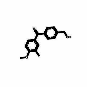 COc1ccc(C(=O)c2ccc(CO)cc2)cc1C